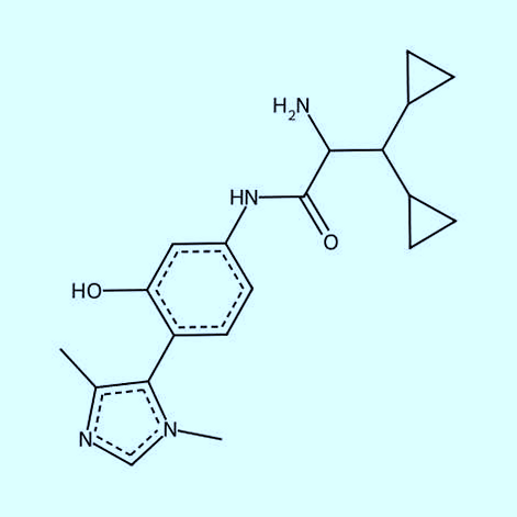 Cc1ncn(C)c1-c1ccc(NC(=O)C(N)C(C2CC2)C2CC2)cc1O